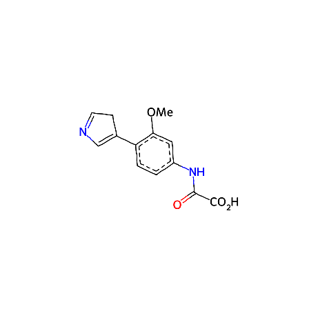 COc1cc(NC(=O)C(=O)O)ccc1C1=CN=CC1